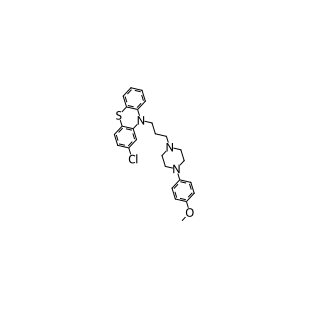 COc1ccc(N2CCN(CCCN3c4ccccc4Sc4ccc(Cl)cc43)CC2)cc1